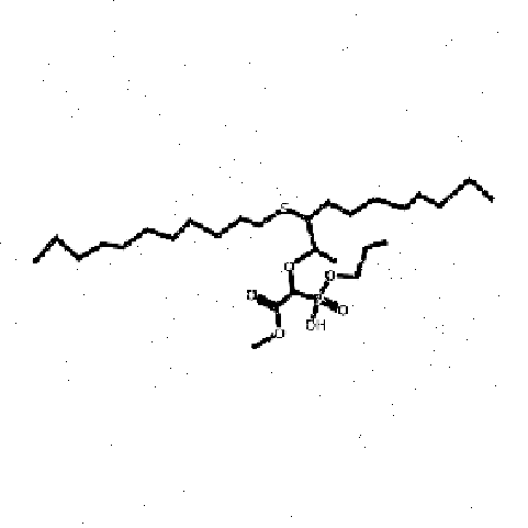 CCCCCCCCCCCSC(CCCCCCCC)C(C)OC(C(=O)OC)P(=O)(O)OCCC